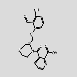 O=Cc1c(O)cccc1OC[C@@H]1CSCCN1C(=O)c1cccnc1C(=O)O